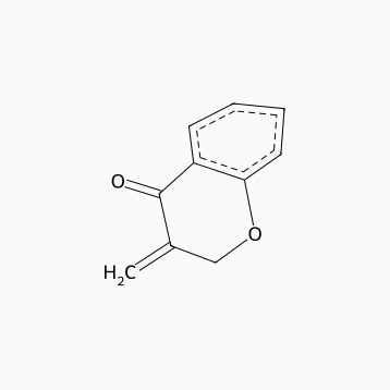 C=C1COc2ccccc2C1=O